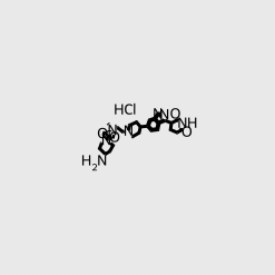 CN(CCN1CCC(c2ccc3c(C4CCC(=O)NC4=O)nn(C)c3c2)CC1)S(=O)(=O)N1CCC(N)CC1.Cl